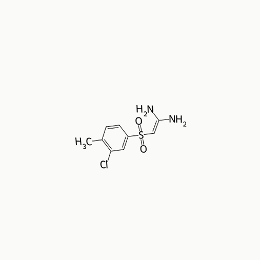 Cc1ccc(S(=O)(=O)C=C(N)N)cc1Cl